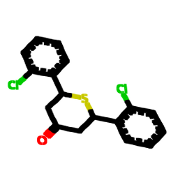 O=C1CC(c2ccccc2Cl)SC(c2ccccc2Cl)C1